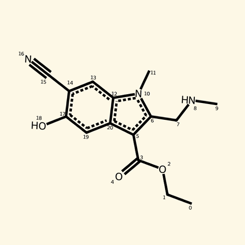 CCOC(=O)c1c(CNC)n(C)c2cc(C#N)c(O)cc12